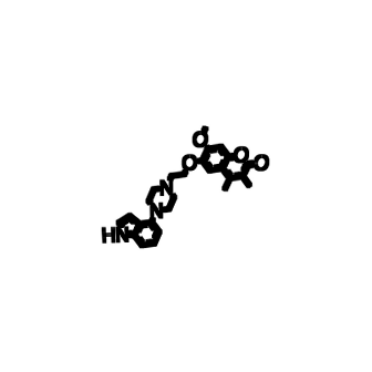 COc1cc2oc(=O)c(C)c(C)c2cc1OCCN1CCN(c2cccc3[nH]ccc23)CC1